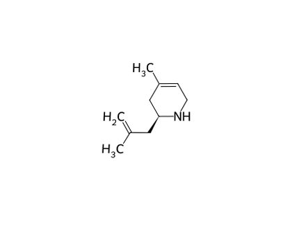 C=C(C)C[C@H]1CC(C)=CCN1